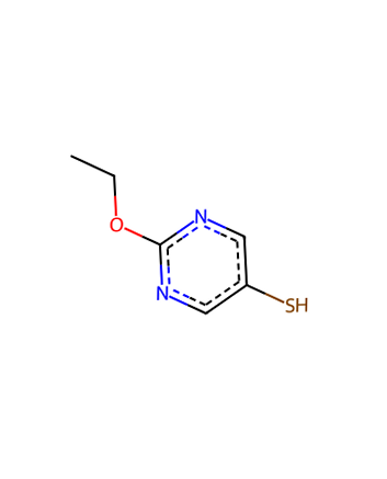 CCOc1ncc(S)cn1